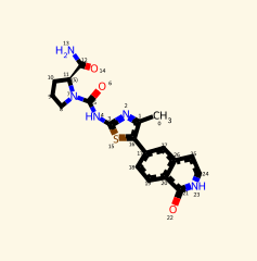 Cc1nc(NC(=O)N2CCC[C@H]2C(N)=O)sc1-c1ccc2c(=O)[nH]ccc2c1